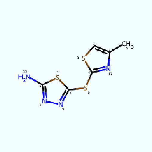 Cc1csc(Sc2nnc(N)s2)n1